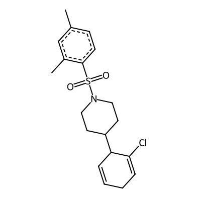 Cc1ccc(S(=O)(=O)N2CCC(C3C=CCC=C3Cl)CC2)c(C)c1